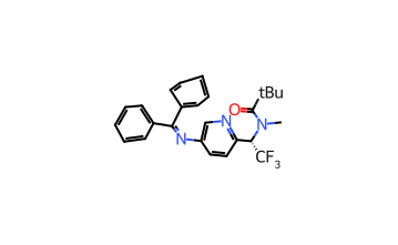 CN(C(=O)C(C)(C)C)[C@@H](c1ccc(N=C(c2ccccc2)c2ccccc2)cn1)C(F)(F)F